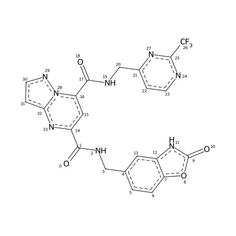 O=C(NCc1ccc2oc(=O)[nH]c2c1)c1cc(C(=O)NCc2ccnc(C(F)(F)F)n2)n2nccc2n1